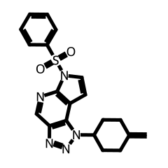 C=C1CCC(n2nnc3cnc4c(ccn4S(=O)(=O)c4ccccc4)c32)CC1